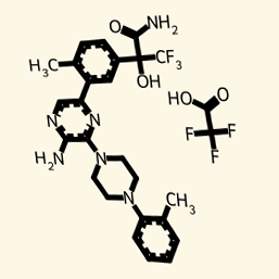 Cc1ccc(C(O)(C(N)=O)C(F)(F)F)cc1-c1cnc(N)c(N2CCN(c3ccccc3C)CC2)n1.O=C(O)C(F)(F)F